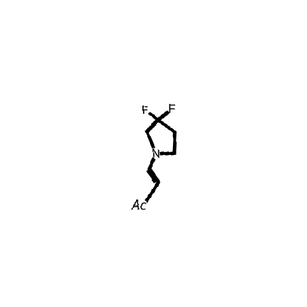 CC(=O)/C=C/N1CCC(F)(F)C1